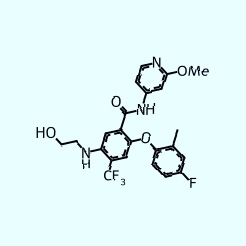 COc1cc(NC(=O)c2cc(NCCO)c(C(F)(F)F)cc2Oc2ccc(F)cc2C)ccn1